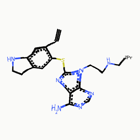 C#Cc1cc2c(cc1Sc1nc3c(N)ncnc3n1CCNCC(C)C)CCN2